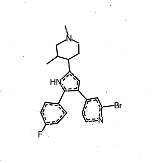 CC1CN(C)CCC1c1cc(-c2ccnc(Br)c2)c(-c2ccc(F)cc2)[nH]1